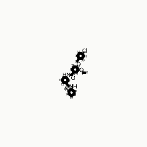 CCOc1cc(C(=O)Nc2cccc(-c3nc4ccccc4[nH]3)c2)ccc1OCc1ccc(Cl)cc1